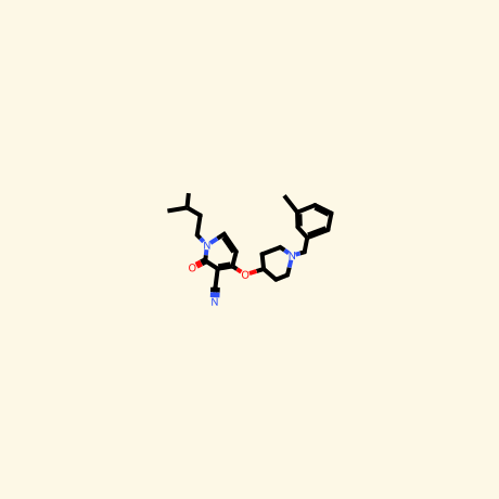 Cc1cccc(CN2CCC(Oc3ccn(CCC(C)C)c(=O)c3C#N)CC2)c1